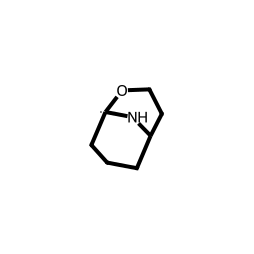 C1C[C]2NC(C1)CCO2